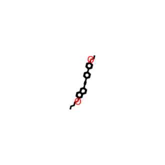 CCCCOc1ccc2cc(C#Cc3ccc(-c4ccc(OCC)cc4)cc3)ccc2c1